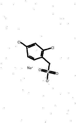 O=S(=O)([O-])Cc1ccc(Cl)cc1Cl.[Na+]